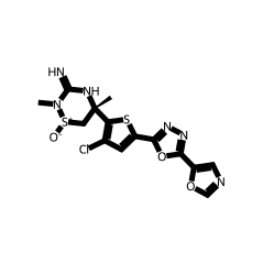 CN1C(=N)N[C@](C)(c2sc(-c3nnc(-c4cnco4)o3)cc2Cl)C[S+]1[O-]